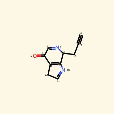 C#CCC1N=CC(=O)C2=C1N=CC2